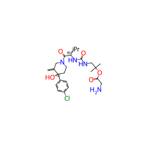 C=C1CN(C(=O)[C@H](NC(=O)NCC(C)(C)OC(=O)CN)C(C)C)CC[C@]1(O)c1ccc(Cl)cc1